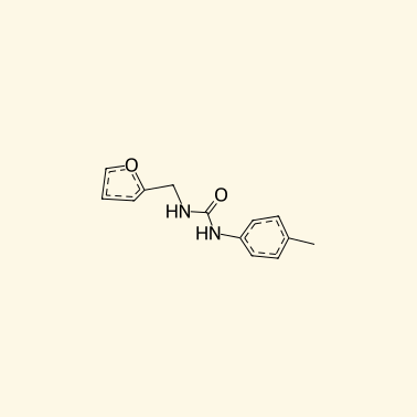 Cc1ccc(NC(=O)NCc2ccco2)cc1